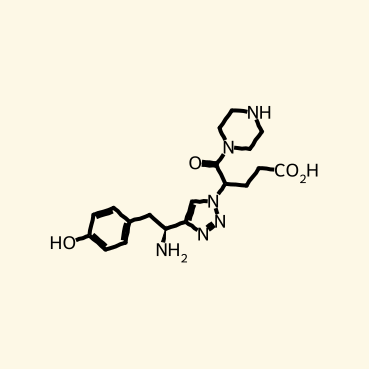 N[C@@H](Cc1ccc(O)cc1)c1cn(C(CCC(=O)O)C(=O)N2CCNCC2)nn1